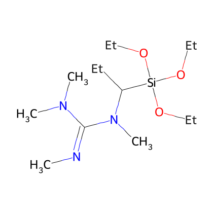 CCO[Si](OCC)(OCC)C(CC)N(C)C(=NC)N(C)C